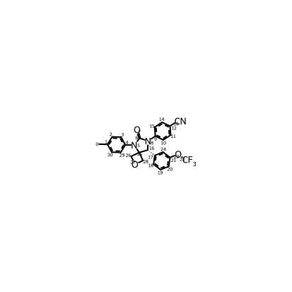 Cc1ccc(N2C(=O)N(c3ccc(C#N)cc3)[C@H](c3cccc(OC(F)(F)F)c3)C23COC3)cc1